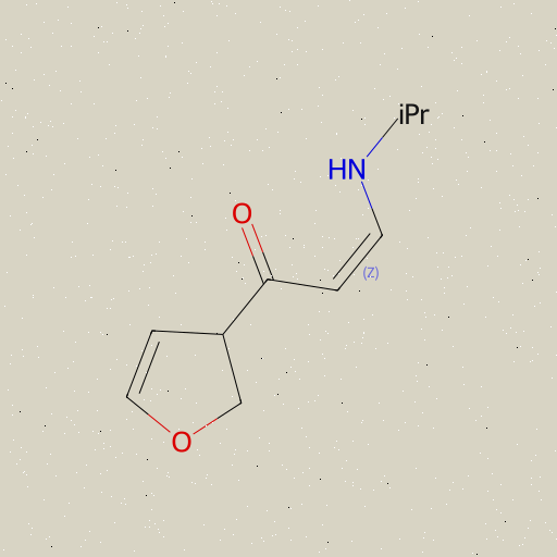 CC(C)N/C=C\C(=O)C1C=COC1